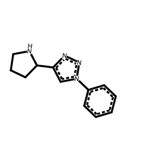 c1ccc(-n2cc(C3CCCN3)nn2)cc1